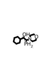 O[C@H](C1CCCCC1)[C@H](P)N1CCOCC1